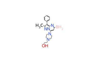 Bc1cc(N2CCN(CCO)CC2)n2nc(C)c(-c3ccccc3)c2n1